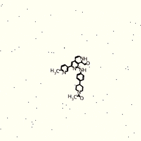 CC(=O)N1CCC(c2ccc(Nc3nc(-c4ccc(C)nc4)cc4c3C(C=O)NC=C4)cc2)CC1